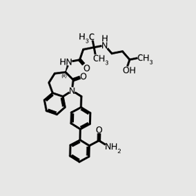 CC(O)CCNC(C)(C)CC(=O)N[C@@H]1CCc2ccccc2N(Cc2ccc(-c3ccccc3C(N)=O)cc2)C1=O